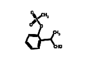 CC(C=O)c1ccccc1OS(C)(=O)=O